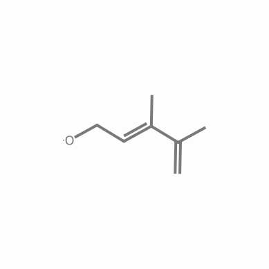 C=C(C)C(C)=CC[O]